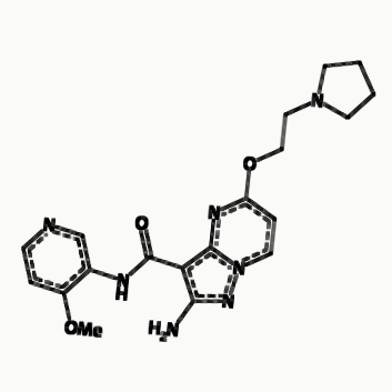 COc1ccncc1NC(=O)c1c(N)nn2ccc(OCCN3CCCC3)nc12